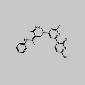 CC(=N)/C(CN(C)c1cc(-n2ccc(N)nc2=O)nc(C)n1)=C(/C)Nc1ccccc1